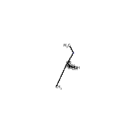 CCCCCCC/C=C\CCCCCCCC(=O)O[C@H](COCCCCCCCCCCCCCCCCCCCC)COP(=O)(O)OC[C@@H](O)CO